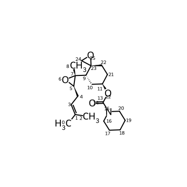 CC(C)=CC[C@H]1O[C@]1(C)[C@H]1C[C@H](OC(=O)N2CCCCC2)CC[C@]12CO2